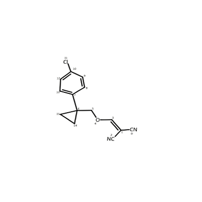 N#CC(C#N)=COCC1(c2ccc(Cl)cc2)CC1